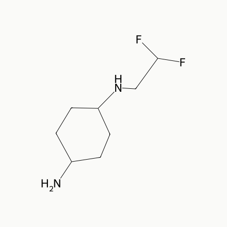 NC1CCC(NCC(F)F)CC1